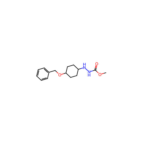 COC(=O)NNC1CCC(OCc2ccccc2)CC1